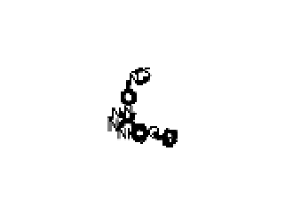 Nc1ncnc2c1c(-c1cccc(OCC34CCC(CC3)O4)c1)cn2C1CCC(CN2CCSCC2)CC1